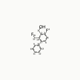 OCc1c(F)ccc(-c2ccccc2)c1CF